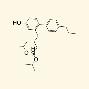 CCCc1ccc(-c2ccc(O)cc2CCC[SiH](OC(C)C)OC(C)C)cc1